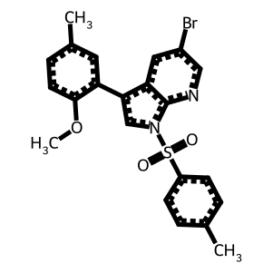 COc1ccc(C)cc1-c1cn(S(=O)(=O)c2ccc(C)cc2)c2ncc(Br)cc12